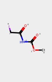 CCOC(=O)NC(=O)CI